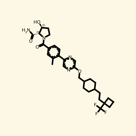 Cc1cc(C(=O)N2CC[C@H](O)[C@H]2C(N)=O)ccc1-c1cnc(OCC2CCC(CCC3(C(F)(F)F)CCC3)CC2)cn1